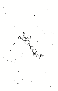 CCOC(=O)N1CCC2(CC(N3CCC4(CC3)CC(=O)NN4CC)C2)C1